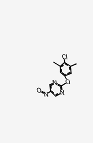 Cc1cc(Oc2ncc(N=O)cn2)cc(C)c1Cl